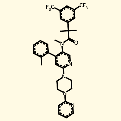 Cc1ccccc1-c1cc(N2CCN(c3ccccn3)CC2)ncc1N(C)C(=O)C(C)(C)c1cc(C(F)(F)F)cc(C(F)(F)F)c1